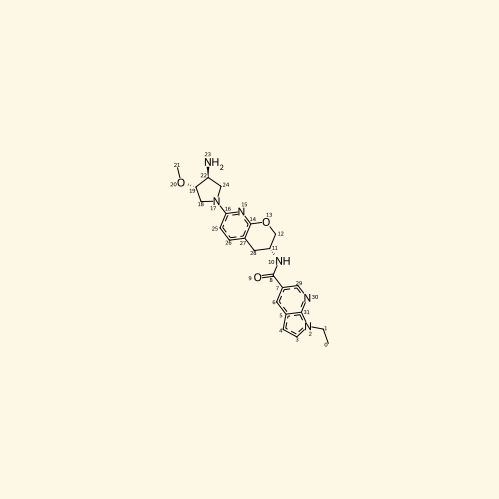 CCn1ccc2cc(C(=O)N[C@H]3COc4nc(N5C[C@H](OC)[C@@H](N)C5)ccc4C3)cnc21